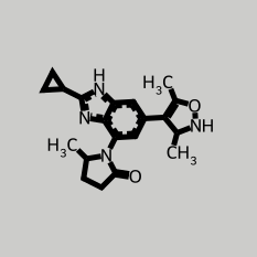 CC1=C(c2cc(N3C(=O)CCC3C)c3nc(C4CC4)[nH]c3c2)C(C)NO1